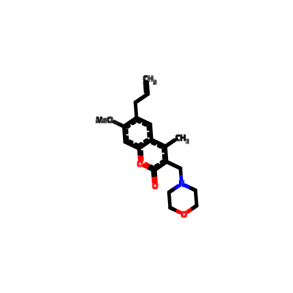 C=CCc1cc2c(C)c(CN3CCOCC3)c(=O)oc2cc1OC